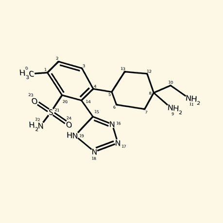 Cc1ccc(C2CCC(N)(CN)CC2)c(-c2nnn[nH]2)c1S(N)(=O)=O